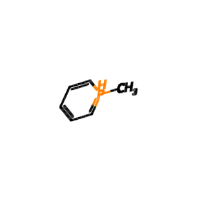 C[PH]1=CC=CC=C1